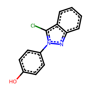 Oc1ccc(-n2nc3ccccc3c2Cl)cc1